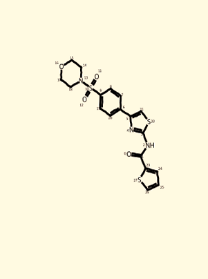 O=C(Nc1nc(-c2ccc(S(=O)(=O)N3CCOCC3)cc2)cs1)c1cccs1